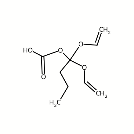 C=COC(CCC)(OC=C)OC(=O)O